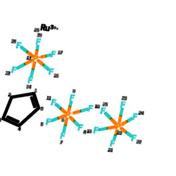 C1=CCC=C1.F[P-](F)(F)(F)(F)F.F[P-](F)(F)(F)(F)F.F[P-](F)(F)(F)(F)F.[Ru+3]